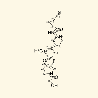 Cc1cc(-c2ccnc(NC(=O)C3CC3C#N)c2)ccc1O[C@H]1CCN(C(=O)CO)C[C@H]1F